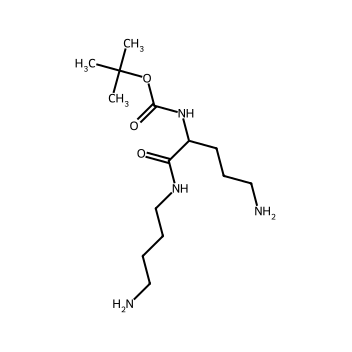 CC(C)(C)OC(=O)NC(CCCN)C(=O)NCCCCN